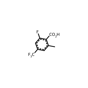 Cc1cc(C(F)(F)F)cc(F)c1C(=O)O